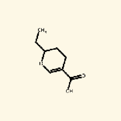 CCC1CCC(C(=O)O)=CO1